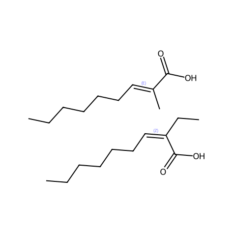 CCCCCC/C=C(/CC)C(=O)O.CCCCCC/C=C(\C)C(=O)O